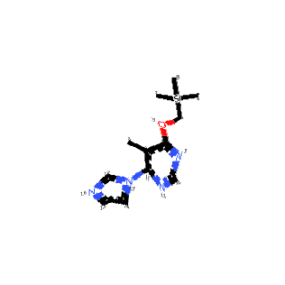 Cc1c(OC[Si](C)(C)C)ncnc1-n1ccnc1